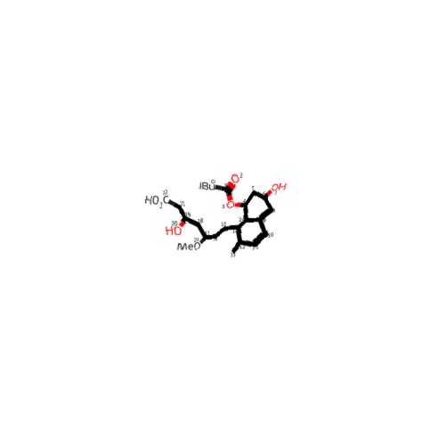 CCC(C)C(=O)OC1CC(O)C=C2C=CC(C)C(CCC(CC(O)CC(=O)O)OC)C21